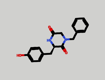 O=C1CN(Cc2ccccc2)C(=O)[C@@H](Cc2ccc(O)cc2)N1